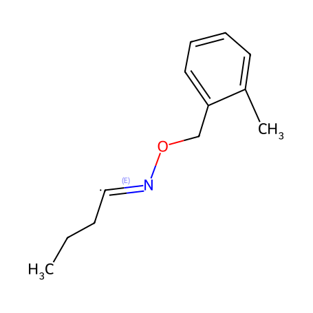 CCC/[C]=N/OCc1ccccc1C